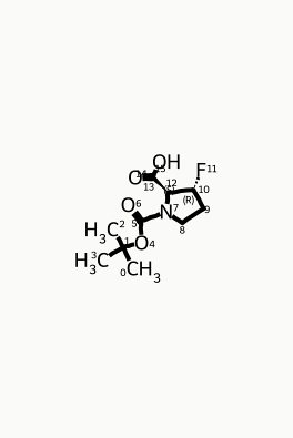 CC(C)(C)OC(=O)N1CC[C@@H](F)[C@@H]1C(=O)O